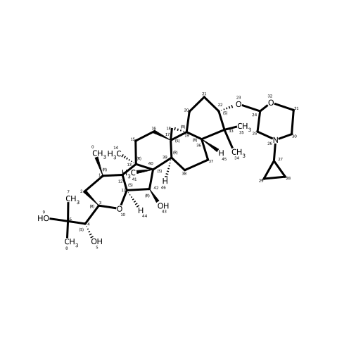 C[C@@H]1C[C@H]([C@H](O)C(C)(C)O)O[C@H]2C1[C@@]1(C)CC[C@@]34C[C@@]35CC[C@H](OC3CN(C6CC6)CCO3)C(C)(C)[C@@H]5CC[C@H]4[C@]1(C)[C@H]2O